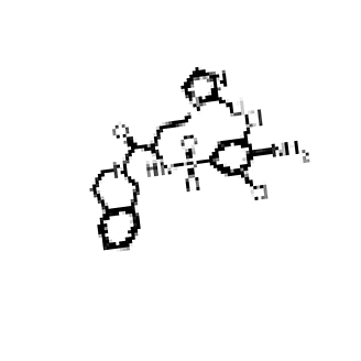 Nc1c(Cl)cc(S(=O)(=O)NC(CCn2ccnc2Cl)C(=O)N2CCc3ccccc3C2)cc1Cl